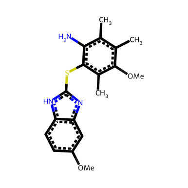 COc1ccc2[nH]c(Sc3c(C)c(OC)c(C)c(C)c3N)nc2c1